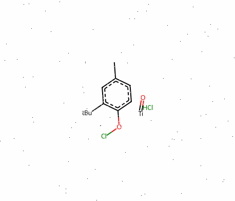 Cc1ccc(OCl)c(C(C)(C)C)c1.Cl.[O]=[Ti]